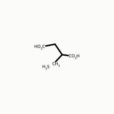 CC(CC(=O)O)C(=O)O.S